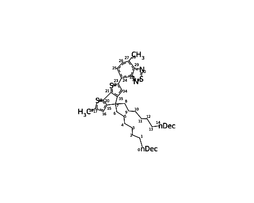 CCCCCCCCCCCCCCCCC1(CCCCCCCCCCCCCCCC)c2cc(C)sc2-c2sc(-c3ccc(C)c4nsnc34)cc21